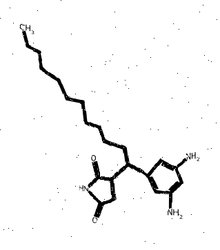 CCCCCCCCCCCC(c1cc(N)cc(N)c1)C1CC(=O)NC1=O